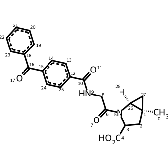 C[C@]12CC(C(=O)O)N(C(=O)CNC(=O)c3ccc(C(=O)c4ccccc4)cc3)[C@H]1C2